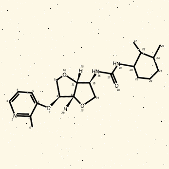 Cc1ncccc1O[C@H]1CO[C@H]2[C@@H]1OC[C@@H]2NC(=O)NC1CCCC(C)C1C